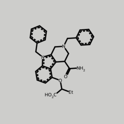 CCC(Oc1cccc2c1c1c(n2Cc2ccccc2)CN(Cc2ccccc2)CC1C(N)=O)C(=O)O